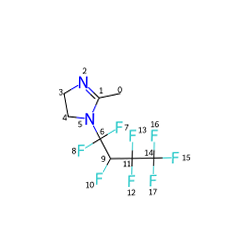 CC1=NCCN1C(F)(F)C(F)C(F)(F)C(F)(F)F